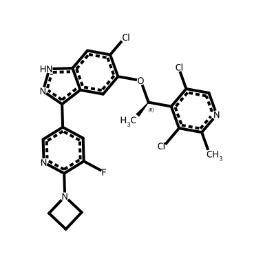 Cc1ncc(Cl)c([C@@H](C)Oc2cc3c(-c4cnc(N5CCC5)c(F)c4)n[nH]c3cc2Cl)c1Cl